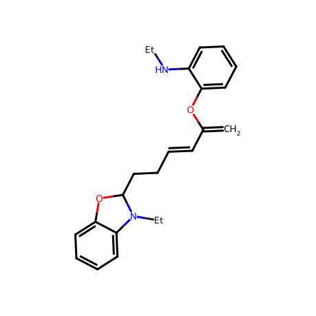 C=C(C=CCCC1Oc2ccccc2N1CC)Oc1ccccc1NCC